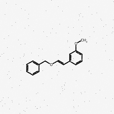 COc1cccc(C=[C]OCc2ccccc2)c1